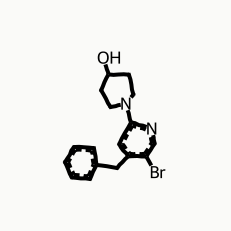 OC1CCN(c2cc(Cc3ccccc3)c(Br)cn2)CC1